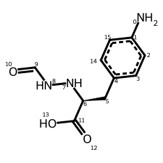 Nc1ccc(C[C@H](NNC=O)C(=O)O)cc1